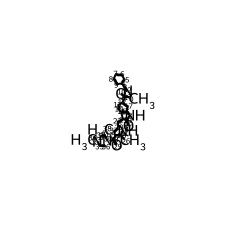 Cc1nc(-c2ccccc2)oc1-c1ccc2c(c1)NC(=O)/C2=C\c1[nH]c(C)c(C(=O)N2CCN(C)CC2)c1C